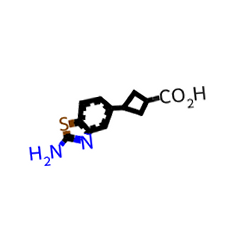 Nc1nc2cc(C3CC(C(=O)O)C3)ccc2s1